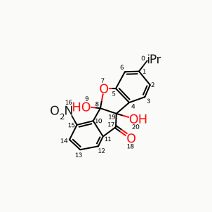 CC(C)c1ccc2c(c1)OC1(O)c3c(cccc3[N+](=O)[O-])C(=O)C21O